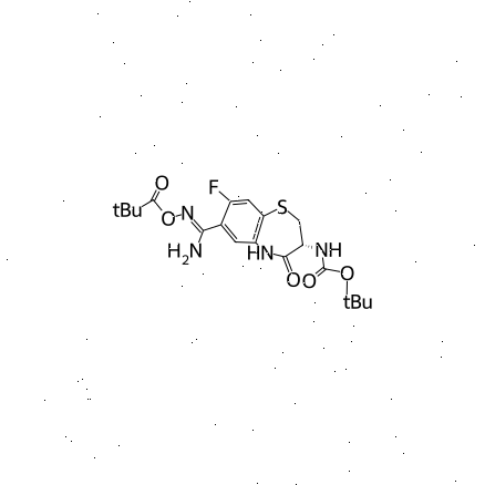 CC(C)(C)OC(=O)N[C@H]1CSc2cc(F)c(/C(N)=N/OC(=O)C(C)(C)C)cc2NC1=O